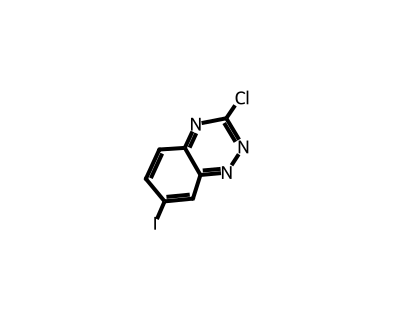 Clc1nnc2cc(I)ccc2n1